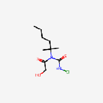 CCCCC(C)(C)N(C(=O)CO)C(=O)NCl